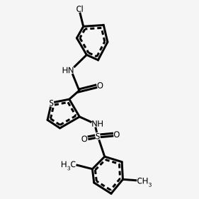 Cc1ccc(C)c(S(=O)(=O)Nc2ccsc2C(=O)Nc2cccc(Cl)c2)c1